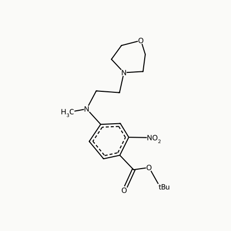 CN(CCN1CCOCC1)c1ccc(C(=O)OC(C)(C)C)c([N+](=O)[O-])c1